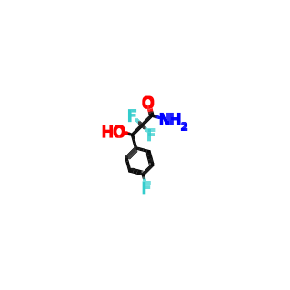 NC(=O)C(F)(F)[C@H](O)c1ccc(F)cc1